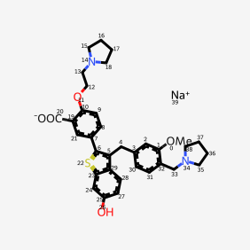 COc1cc(Cc2c(-c3ccc(OCCN4CCCC4)c(C(=O)[O-])c3)sc3cc(O)ccc23)ccc1CN1CCCC1.[Na+]